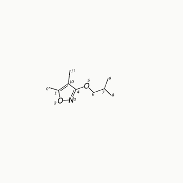 Cc1onc(OCC(C)C)c1I